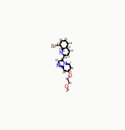 COCCOc1ccn2c(-c3ccc4cccc(Br)c4n3)cnc2c1